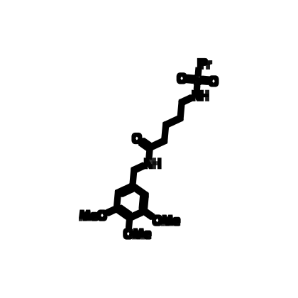 COc1cc(CNC(=O)CCCCNS(=O)(=O)C(C)C)cc(OC)c1OC